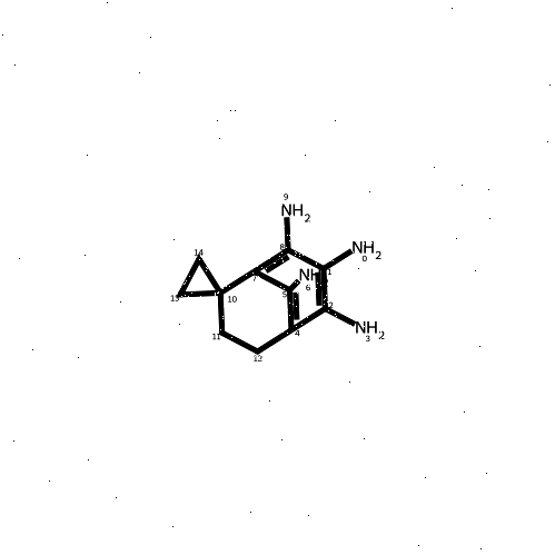 Nc1c(N)c2c(N)c(c1N)C1(CC2)CC1